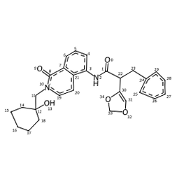 O=C(Nc1cccc2c(=O)n(CC3(O)CCCCC3)ccc12)C(Cc1ccccc1)C1=COCO1